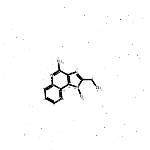 CCc1nc2c(N)nc3ccccc3c2n1Cl